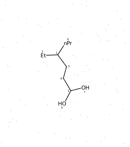 CCCC(CC)CCC(O)O